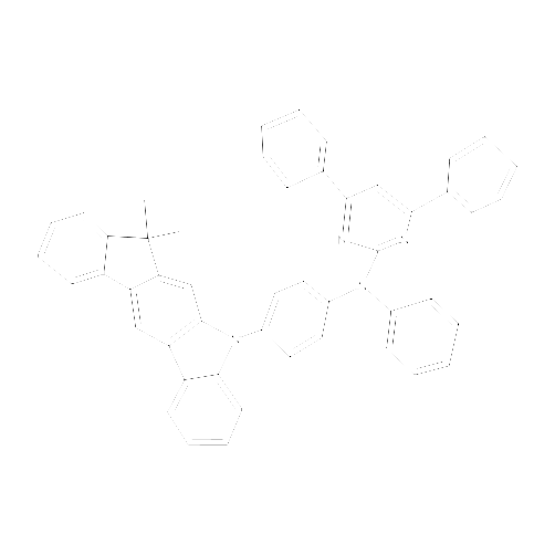 CC1(C)c2ccccc2-c2cc3c4ccccc4n(-c4ccc(N(c5ccccc5)c5nc(-c6ccccc6)cc(-c6ccccc6)n5)cc4)c3cc21